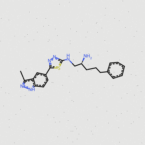 Cc1n[nH]c2ccc(-c3nnc(NC[C@@H](N)CCCc4ccccc4)s3)cc12